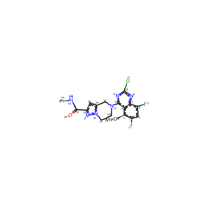 COc1c(F)cc(F)c2nc(Cl)nc(N3CCn4nc(C(=O)NC(C)C)cc4C3)c12